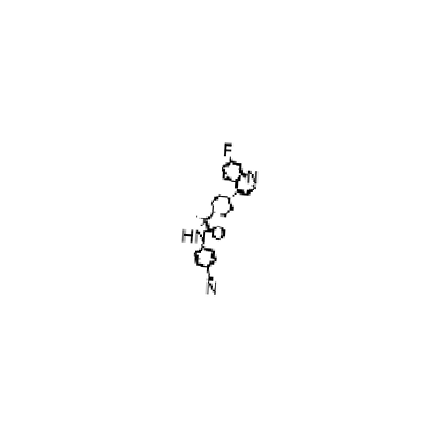 C[C@@H](C(=O)Nc1ccc(C#N)cc1)[C@H]1CC[C@@H](c2ccnc3cc(F)ccc32)CC1